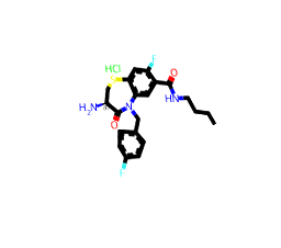 CCCCNC(=O)c1cc2c(cc1F)SC[C@H](N)C(=O)N2Cc1ccc(F)cc1.Cl